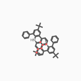 CC(C)(C)c1cc(Nc2c(-c3ccccc3)cc(C(C)(C)C)cc2-c2ccccc2)cc(Nc2c(-c3ccccc3)cc(C(C)(C)C)cc2-c2ccccc2)c1